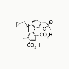 Cc1cc(-c2cc(CS(C)(=O)=O)ccc2NCC2CC2)c(C(=O)O)cc1C(=O)O